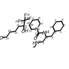 CNCC(CC1CCCCC1)NC(=O)N1CCC[C@@H](C(O)(CCCCOC)C(F)(F)F)C1